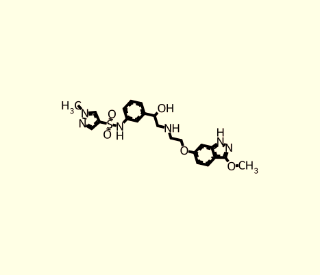 COc1n[nH]c2cc(OCCNCC(O)c3cccc(NS(=O)(=O)c4cnn(C)c4)c3)ccc12